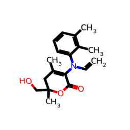 C=CN(C1=C(C)CC(C)(CO)OC1=O)c1cccc(C)c1C